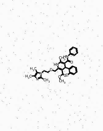 COC(=O)C1=C(COCCn2c(C)nc(C)c2C)NC(C)=C(C(=O)Nc2ccccc2)C1c1ccccc1Cl